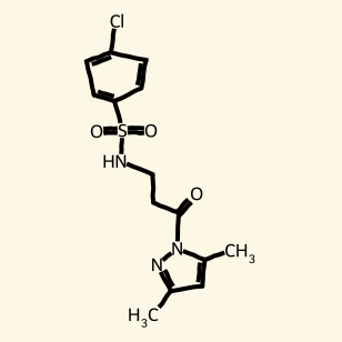 Cc1cc(C)n(C(=O)CCNS(=O)(=O)c2ccc(Cl)cc2)n1